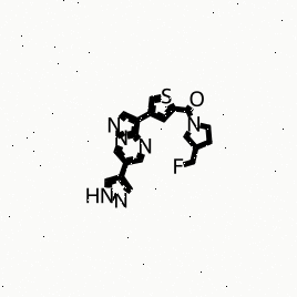 O=C(c1cc(-c2cnn3cc(-c4cn[nH]c4)cnc23)cs1)N1CCC(CF)C1